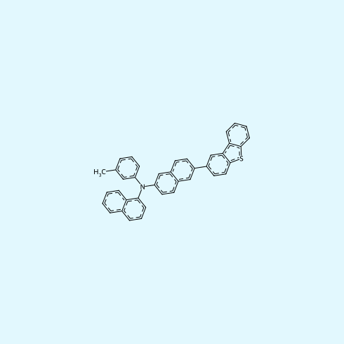 Cc1cccc(N(c2ccc3cc(-c4ccc5sc6ccccc6c5c4)ccc3c2)c2cccc3ccccc23)c1